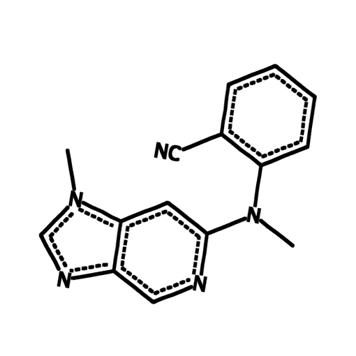 CN(c1cc2c(cn1)ncn2C)c1ccccc1C#N